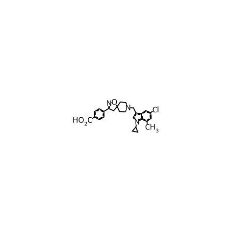 Cc1cc(Cl)cc2c(CN3CCC4(CC3)CC(c3ccc(C(=O)O)cc3)=NO4)cn(C3CC3)c12